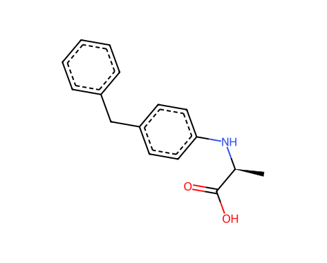 C[C@H](Nc1ccc(Cc2ccccc2)cc1)C(=O)O